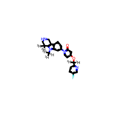 [2H]C1([2H])CNCc2c1n(C([2H])([2H])[2H])c1cc(-n3ccc(OC([2H])([2H])c4ccc(F)cn4)cc3=O)ccc21